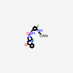 COCCNc1cc(CNC(=O)N2CCC3(CC2)CC(=O)c2ccccc2N3F)ccc1F